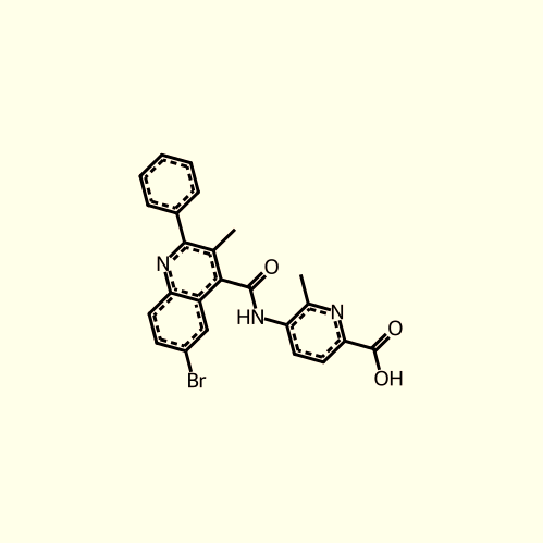 Cc1nc(C(=O)O)ccc1NC(=O)c1c(C)c(-c2ccccc2)nc2ccc(Br)cc12